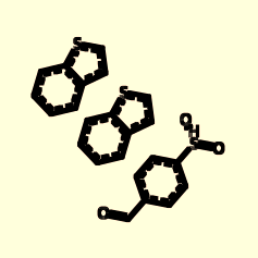 O=Cc1ccc([SH](=O)=O)cc1.c1ccc2sccc2c1.c1ccc2sccc2c1